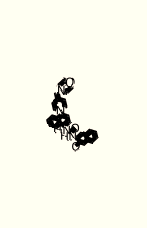 COc1cc2ccccc2cc1NC(=O)Nc1ccc(N2CCC(CN3CCOCC3)CC2)c2ccccc12